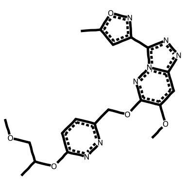 COCC(C)Oc1ccc(COc2nn3c(-c4cc(C)on4)nnc3cc2OC)nn1